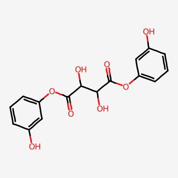 O=C(Oc1cccc(O)c1)C(O)C(O)C(=O)Oc1cccc(O)c1